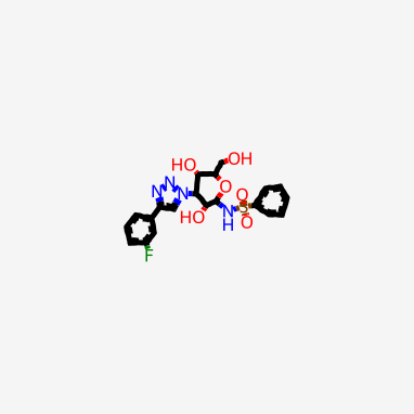 O=S(=O)(NC1OC(CO)C(O)C(n2cc(-c3cccc(F)c3)nn2)C1O)c1ccccc1